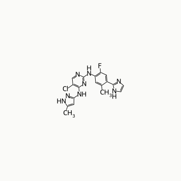 Cc1cc(Nc2nc(Nc3cc(C)c(-c4ncc[nH]4)cc3F)ncc2Cl)n[nH]1